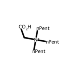 CCCCC[N+](CCCCC)(CCCCC)CC(=O)O